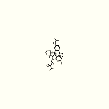 CC(C)Oc1ccc(C2CCCC2)c(C(=O)N2CCCC[C@@]2(C)c2nc3ncc(F)cc3n2COC(=O)C(C)C)c1